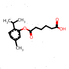 Cc1ccc(C(C)C)c(OC(=O)CCCCC(=O)O)c1